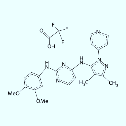 COc1ccc(Nc2nccc(Nc3c(C)c(C)nn3-c3ccncc3)n2)cc1OC.O=C(O)C(F)(F)F